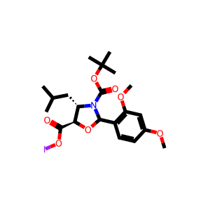 COc1ccc(C2O[C@@H](C(=O)OI)[C@H](CC(C)C)N2C(=O)OC(C)(C)C)c(OC)c1